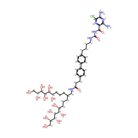 Nc1nc(N)c(C(=O)NC(=O)NCCCCc2ccc(-c3ccc(CCC(=O)NCC(CCC[C@H](O)[C@H](O)[C@@H](O)[C@H](O)[C@H](O)CO)CCC[C@H](O)[C@H](O)[C@@H](O)[C@H](O)[C@H](O)CO)cc3)cc2)nc1Cl